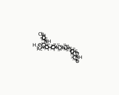 CC(=O)N1c2ccc(-c3ccc(N4CCC(N5CCN(Cc6ccc(C7CCC(=O)NC7=O)c(F)c6)CC5)CC4)cc3)cc2C(Nc2ccc(Cl)cc2)CC1C